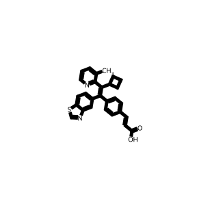 Cc1cccnc1C(=C(c1ccc(C=CC(=O)O)cc1)c1ccc2scnc2c1)C1CCC1